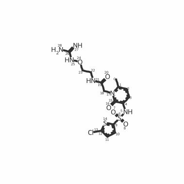 Cc1ccc(NS(=O)(=O)c2ccc(Cl)s2)c(=O)n1CC(=O)NCCONC(=N)N